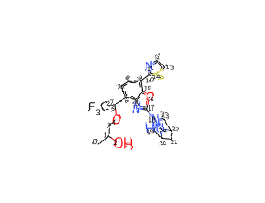 CC(O)COC(c1ccc(-c2nccs2)c2oc(N3CC4CC(C3)N4)nc12)C(F)(F)F